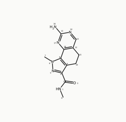 CNC(=O)c1nn(C)c2c1CCc1cnc(N)nc1-2